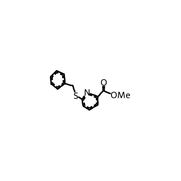 COC(=O)c1cccc(SCc2ccccc2)n1